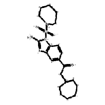 Nc1nc2cc(C(=O)CC3CCCCCC3)ccc2n1S(=O)(=O)N1CCCCC1